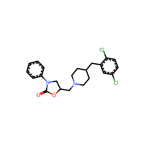 O=C1OC(CN2CCC(Cc3cc(Cl)ccc3Cl)CC2)CN1c1ccccc1